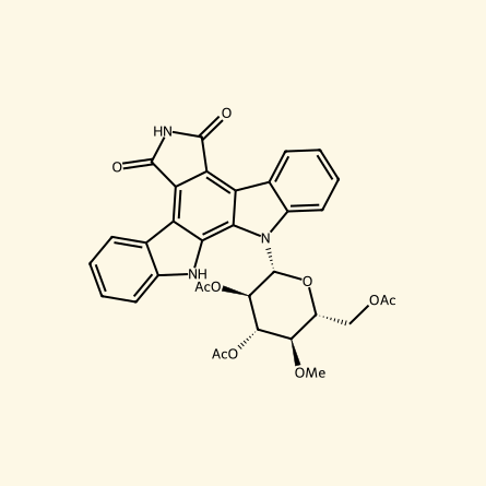 CO[C@H]1[C@H](OC(C)=O)[C@@H](OC(C)=O)[C@H](n2c3ccccc3c3c4c(c5c6ccccc6[nH]c5c32)C(=O)NC4=O)O[C@@H]1COC(C)=O